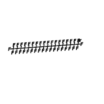 FC(F)(F)C(F)(F)C(F)(F)C(F)(F)C(F)(F)C(F)(F)C(F)(F)C(F)(F)C(F)(F)C(F)(F)C(F)(F)C(F)(F)C(F)(F)C(F)(F)C(F)(F)C(F)(F)C(F)(F)C(F)(F)Br